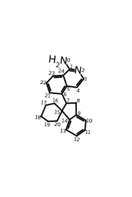 Nc1nccc2c(C3Cc4ccccc4C34CCCCC4)cccc12